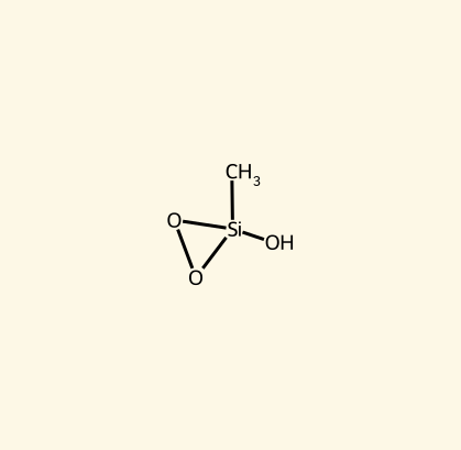 C[Si]1(O)OO1